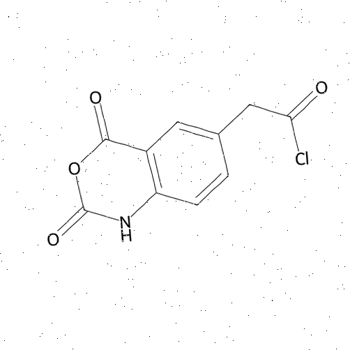 O=C(Cl)Cc1ccc2[nH]c(=O)oc(=O)c2c1